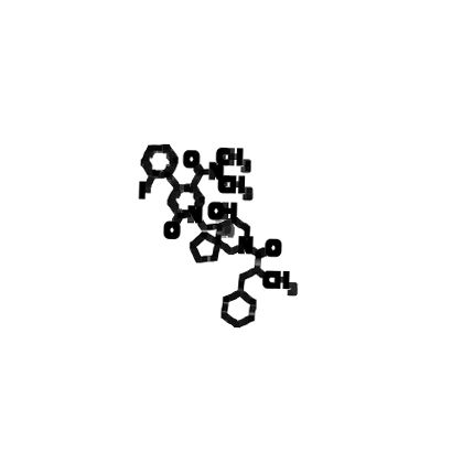 CC(CC1CCCCC1)C(=O)N1CC[C@](O)(Cn2cc(C(=O)N(C)C)c(-c3ccccc3F)cc2=O)C2(CCCC2)C1